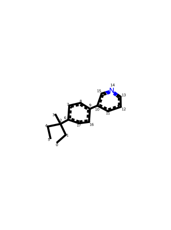 CCC(C)(CC)c1ccc(-c2cccnc2)cc1